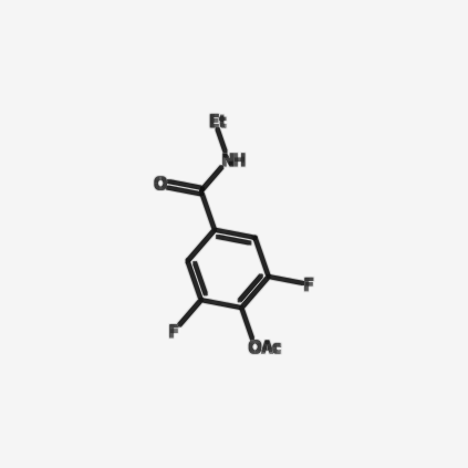 CCNC(=O)c1cc(F)c(OC(C)=O)c(F)c1